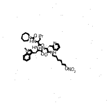 CC(C)CC(NC(=O)N1CCCCCC1)C(=O)NC(Cc1cn(C)c2ccccc12)C(=O)N[C@H](Cc1ccccn1)C(=O)NCCCCCCO[N+](=O)[O-]